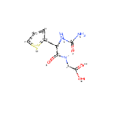 NC(=O)NC(C(=O)[N]CC(=O)O)c1cccs1